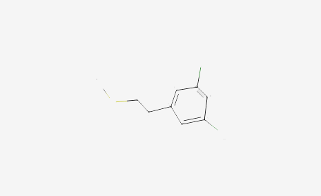 [CH2]CSCCc1cc(Cl)cc(Cl)c1